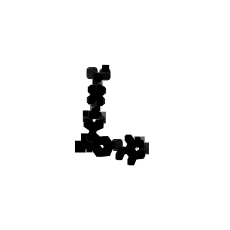 COC(=O)N1CC2(C1)CN(c1ncc(-c3n[nH]c4ccc(OC(C)c5c(C)cnnc5C)cc34)cn1)C2